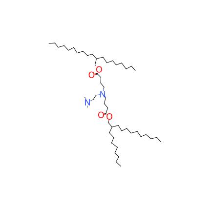 CCCCCCCCCCC(CCCCCCCC)COC(=O)CCCN(CCCC(=O)OCC(CCCCCCCC)CCCCCCCCCC)CCN(C)C